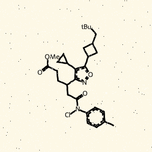 COC(=O)CCC(CC(=O)N(Cl)c1ccc(C)cc1)c1noc(C2CC(CC(C)(C)C)C2)c1C1CC1